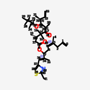 C=CC/C(C)=C\CC(OC(=O)C[C@H](C)C(C)(C)C(=O)[C@H](C)[C@@H](O[Si](C)(C)C(C)(C)C)[C@@H](C)C=C)/C(C)=C/c1csc(C)n1